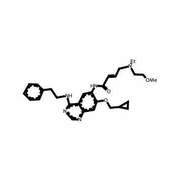 CCN(CC=CC(=O)Nc1cc2c(NCCc3ccccc3)ncnc2cc1OCC1CC1)CCOC